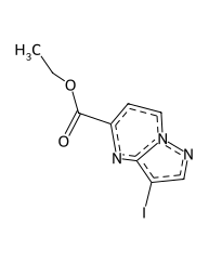 CCOC(=O)c1ccn2ncc(I)c2n1